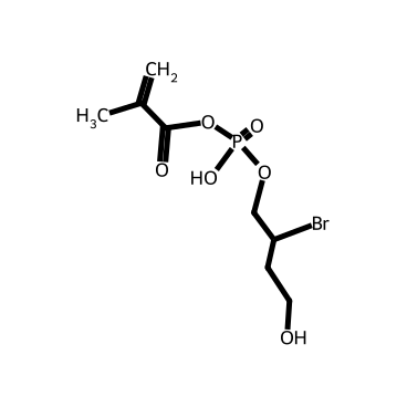 C=C(C)C(=O)OP(=O)(O)OCC(Br)CCO